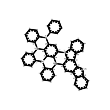 c1ccc(N2c3ccccc3B3c4ccccc4N4c5ccccc5B5c6c(cc2c3c64)-n2c3ccccc3c3c4oc6ccccc6c4cc5c32)cc1